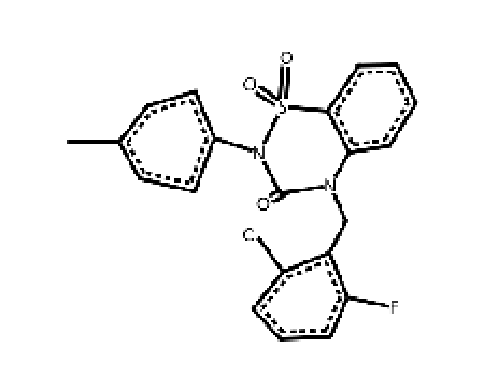 Cc1ccc(N2C(=O)N(Cc3c(F)cccc3Cl)c3ccccc3S2(=O)=O)cc1